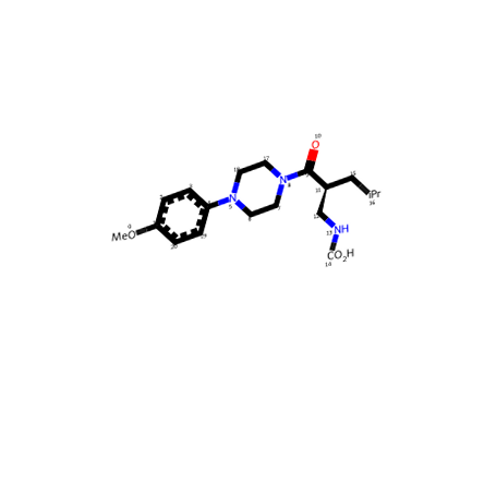 COc1ccc(N2CCN(C(=O)[C@H](CNC(=O)O)CC(C)C)CC2)cc1